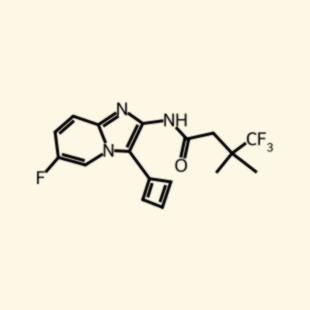 CC(C)(CC(=O)Nc1nc2ccc(F)cn2c1C1=CC=C1)C(F)(F)F